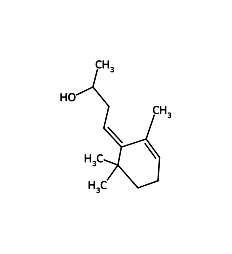 CC1=CCCC(C)(C)/C1=C/CC(C)O